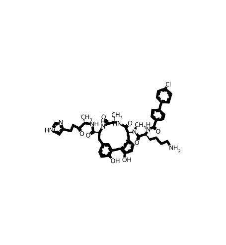 C[C@H](NC(=O)[C@@H]1Cc2ccc(O)c(c2)-c2cc(ccc2O)[C@H](N(C)C(=O)[C@H](CCCCN)NC(=O)c2ccc(-c3ccc(Cl)cc3)cc2)C(=O)N[C@@H](C)C(=O)N1)C(=O)CCc1c[nH]cn1